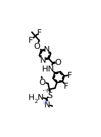 C/N=C(/N)S[C@@](C)(COC)Cc1cc(NC(=O)c2cnc(OCC(C)(F)F)cn2)cc(F)c1F